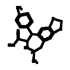 CNC(=O)N1N[C@H](C)Cc2cc3c(cc2C1c1ccc([N+](=O)[O-])cc1)OCO3